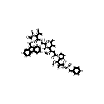 CCC(C)C(C(CC(=O)N1CCCC1C(OC)C(C)C(=O)N[S+]([O-])Cc1ccccc1)OC)N(C)C(=O)CNC(=O)C(C(C)C)N(C)C(=O)OCC1c2ccccc2-c2ccccc21